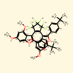 COc1cc(OC)c2c(C3=C(c4c(-c5ccc(C(C)(C)C)cc5)oc5cc(OC)cc(OC)c45)C(F)(F)C(F)(F)C3(F)F)c(-c3ccc(C(C)(C)C)cc3)oc2c1